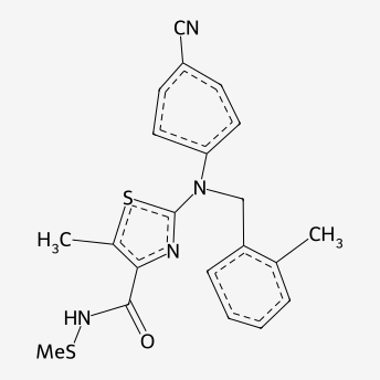 CSNC(=O)c1nc(N(Cc2ccccc2C)c2ccc(C#N)cc2)sc1C